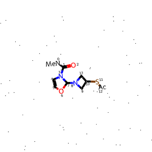 CNC(=O)N1C=COC1N1CC(SC(C)=O)C1